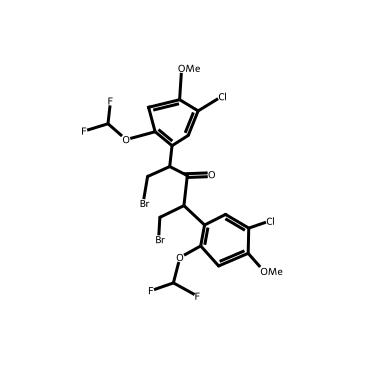 COc1cc(OC(F)F)c(C(CBr)C(=O)C(CBr)c2cc(Cl)c(OC)cc2OC(F)F)cc1Cl